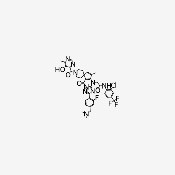 CC1=CC2(CCN(C(=O)c3ncnc(C)c3O)CC2)c2c1n(CC(=O)Nc1ccc(C(F)(F)F)cc1Cl)c1nc(-c3ccc(CN(C)C)cc3F)nn1c2=O